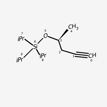 C#CC[C@H](C)O[Si](C(C)C)(C(C)C)C(C)C